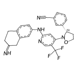 N#Cc1cccc([C@@H]2CCON2c2cc(Nc3ccc4c(c3)CC(=N)CC4)ncc2C(F)(F)F)c1